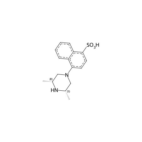 C[C@@H]1CN(c2ccc(S(=O)(=O)O)c3ccccc23)C[C@H](C)N1